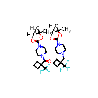 CC(C)(C)OC(=O)N1CCN(C(=O)C2(C(F)(F)F)CCC2)CC1.CC(C)(C)OC(=O)N1CCN(CC2(C(F)(F)F)CCC2)CC1